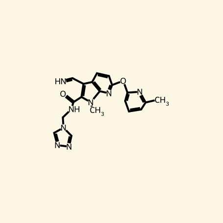 Cc1cccc(Oc2ccc3c(C=N)c(C(=O)NCn4cnnc4)n(C)c3n2)n1